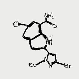 CCn1nc(Br)cc1-c1cc2cc(Cl)cc(C(N)=O)c2[nH]1